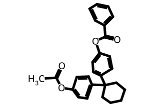 CC(=O)Oc1ccc(C2(c3ccc(OC(=O)c4ccccc4)cc3)CCCCC2)cc1